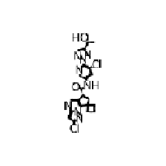 C[C@H](O)c1cnn(-c2ncc(NC(=O)[C@H]3CC4(CCC4)c4c3cnc3cc(Cl)nn43)cc2Cl)n1